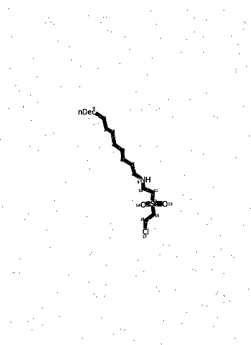 CCCCCCCCCCCCCCCCCCNCCS(=O)(=O)CCCl